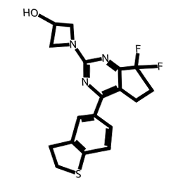 OC1CN(c2nc(-c3ccc4c(c3)CCS4)c3c(n2)C(F)(F)CC3)C1